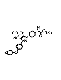 CCOC(=O)c1c(C#N)c(-c2ccc(OC3CC4CC4C3)cc2)nn1[C@H]1CC[C@@H](NC(=O)OC(C)(C)C)CC1